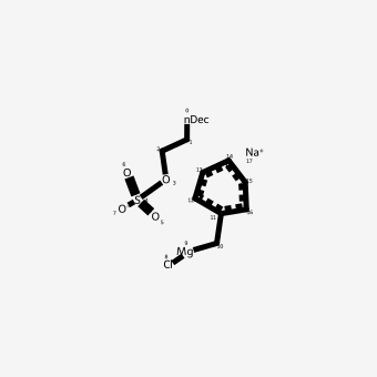 CCCCCCCCCCCCOS(=O)(=O)[O-].[Cl][Mg][CH2]c1ccccc1.[Na+]